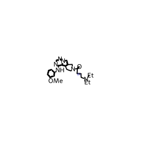 CCN(CC)C/C=C/C(=O)N1CCc2c(cn3ncnc(Nc4cccc(OC)c4)c23)C1